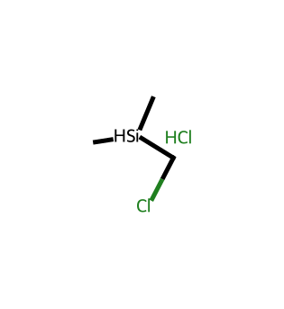 C[SiH](C)CCl.Cl